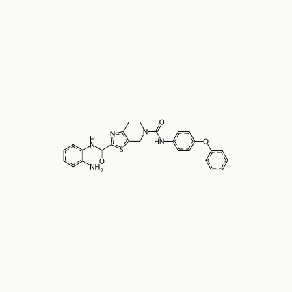 Nc1ccccc1NC(=O)c1nc2c(s1)CN(C(=O)Nc1ccc(Oc3ccccc3)cc1)CC2